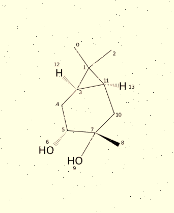 CC1(C)[C@@H]2C[C@@H](O)[C@@](C)(O)C[C@@H]21